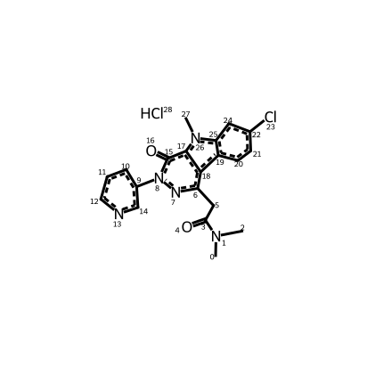 CN(C)C(=O)Cc1nn(-c2cccnc2)c(=O)c2c1c1ccc(Cl)cc1n2C.Cl